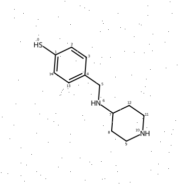 Sc1ccc(CNC2CCNCC2)cc1